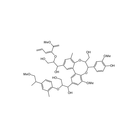 C=C/C=C(/OC(CO)C(O)c1cc(C)c2c(c1)-c1cc(C(O)C(CO)Oc3ccc(C(C)COC)cc3C)cc(OC)c1OC(c1ccc(O)c(OC)c1)C(CO)O2)C(=C)OC